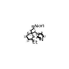 CCCCCCCCCCCC1(Cn2ccnc2)SCCC(CC)S1